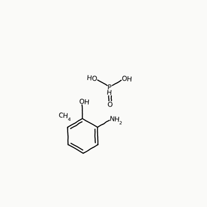 C.Nc1ccccc1O.O=[PH](O)O